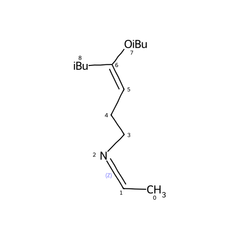 C/C=N\CCC=C(OCC(C)C)C(C)CC